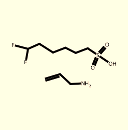 C=CCN.O=S(=O)(O)CCCCCC(F)F